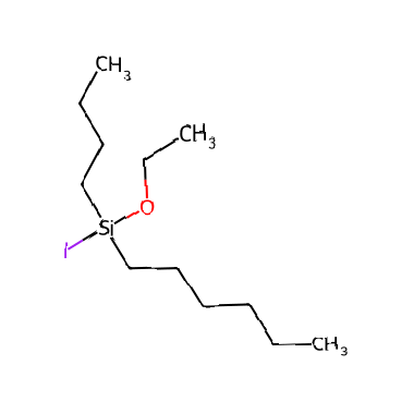 CCCCCC[Si](I)(CCCC)OCC